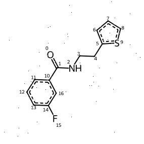 O=C(NCCc1cccs1)c1cccc(F)c1